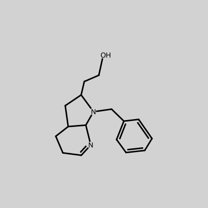 OCCC1CC2CCC=NC2N1Cc1ccccc1